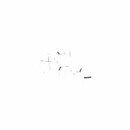 C=C(C)C(=O)NC(F)C(=O)N(C(=O)C(F)(F)F)C1(CC)CCCC1